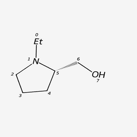 CCN1CCC[C@H]1CO